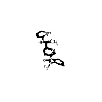 C=C(NC1=NNCC=C1)c1ccc(-n2c(=O)n(C)c3ccccc32)cn1